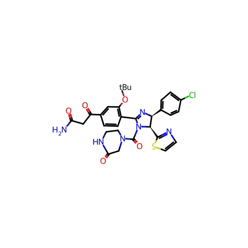 CC(C)(C)Oc1cc(C(=O)CC(N)=O)ccc1C1=N[C@@H](c2ccc(Cl)cc2)[C@@H](c2nccs2)N1C(=O)N1CCNC(=O)C1